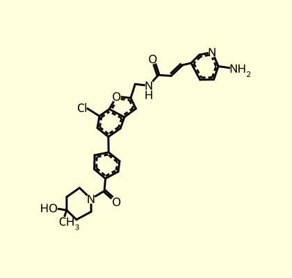 CC1(O)CCN(C(=O)c2ccc(-c3cc(Cl)c4oc(CNC(=O)C=Cc5ccc(N)nc5)cc4c3)cc2)CC1